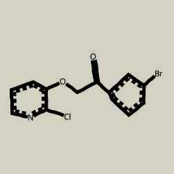 O=C(COc1cccnc1Cl)c1cccc(Br)c1